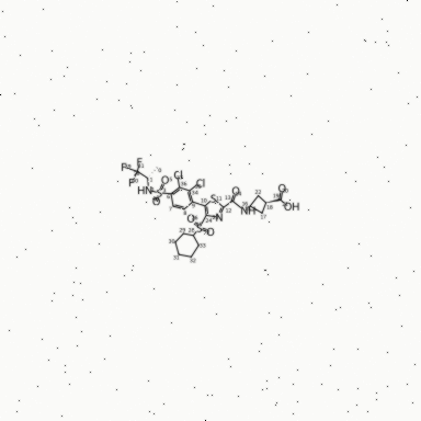 C[C@H](NS(=O)(=O)c1ccc(-c2sc(C(=O)N[C@H]3C[C@H](C(=O)O)C3)nc2S(=O)(=O)C2CCCCC2)c(Cl)c1Cl)C(F)(F)F